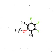 [2H]c1c(F)c(F)c(F)c([2H])c1OC